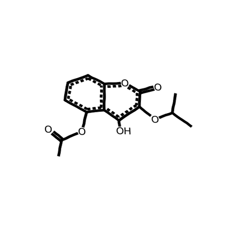 CC(=O)Oc1cccc2oc(=O)c(OC(C)C)c(O)c12